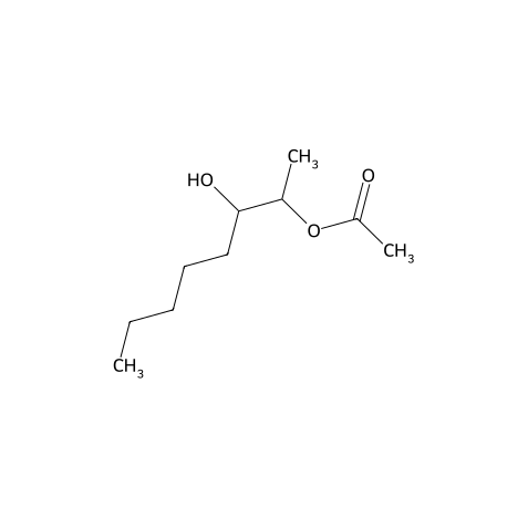 CCCCCC(O)C(C)OC(C)=O